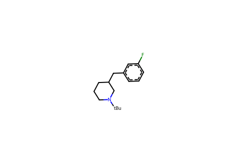 CC(C)(C)N1CCCC(Cc2cccc(F)c2)C1